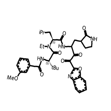 CCN(C(=O)[C@@H](NC(=O)c1cccc(OC)c1)C(C)(C)C)[C@@H](CC(C)C)C(=O)NC(CC1CCNC1=O)C(=O)C(=O)c1nc2ccccc2o1